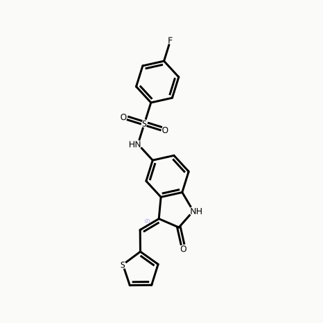 O=C1Nc2ccc(NS(=O)(=O)c3ccc(F)cc3)cc2/C1=C/c1cccs1